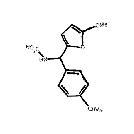 COc1ccc(C(NC(=O)O)c2ccc(OC)o2)cc1